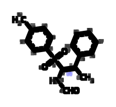 C/C(=C(\NC=O)S(=O)(=O)c1ccc(C)cc1)c1ccccc1